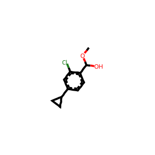 COC(O)c1ccc(C2CC2)cc1Cl